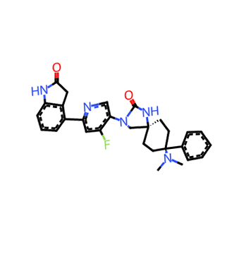 CN(C)[C@]1(c2ccccc2)CC[C@]2(CC1)CN(c1cnc(-c3cccc4c3CC(=O)N4)cc1F)C(=O)N2